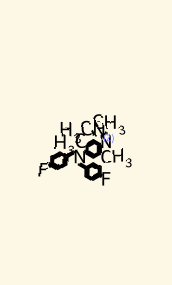 CCN(C)/C=N\c1cc(C)c(N(Cc2ccc(F)cc2)Cc2ccc(F)cc2)cc1C